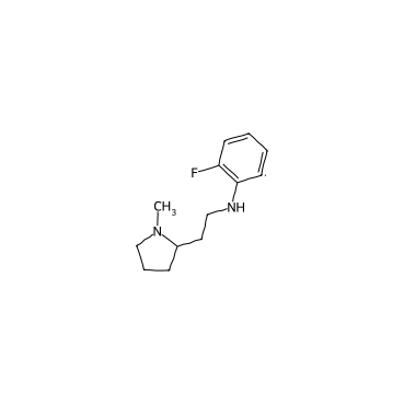 CN1CCCC1CCNc1[c]cccc1F